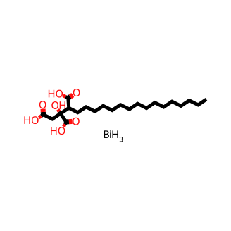 CCCCCCCCCCCCCCCCC(C(=O)O)C(O)(CC(=O)O)C(=O)O.[BiH3]